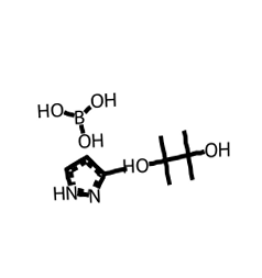 CC(C)(O)C(C)(C)O.Cc1cc[nH]n1.OB(O)O